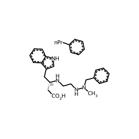 CCCc1ccccc1.CN(Cc1ccccc1)NCCN[C@H](CC(=O)O)Cc1c[nH]c2ccccc12